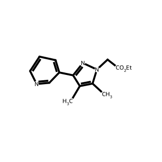 CCOC(=O)Cn1nc(-c2cccnc2)c(C)c1C